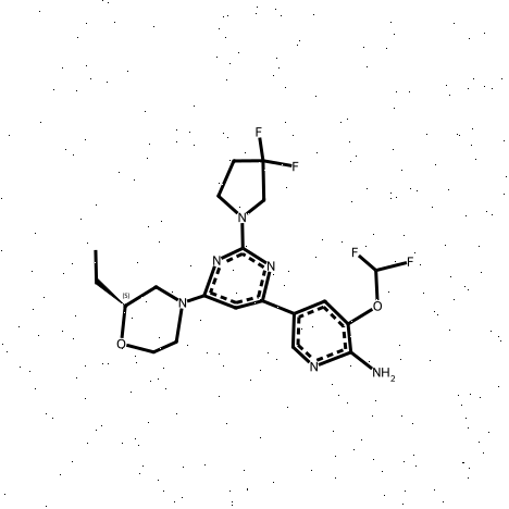 CC[C@H]1CN(c2cc(-c3cnc(N)c(OC(F)F)c3)nc(N3CCC(F)(F)C3)n2)CCO1